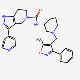 Cc1onc(-c2ccccc2)c1CN1CCC[C@@H](NC(=O)N2CCc3[nH]nc(-c4ccncc4)c3C2)C1